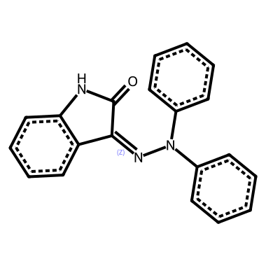 O=C1Nc2ccccc2/C1=N/N(c1ccccc1)c1ccccc1